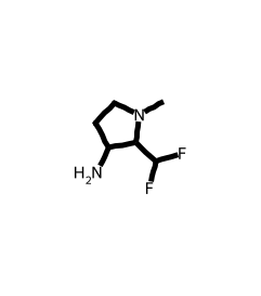 CN1CCC(N)C1C(F)F